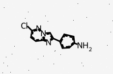 Nc1ccc(-c2cn3nc(Cl)ccc3n2)cc1